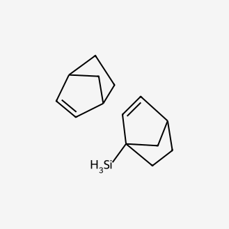 C1=CC2CCC1C2.[SiH3]C12C=CC(CC1)C2